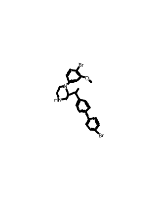 COc1cc(N2CCNCC2C(C)c2ccc(-c3ccc(Br)cc3)cc2)ccc1Br